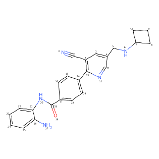 N#Cc1cc(CNC2CCC2)cnc1-c1ccc(C(=O)Nc2ccccc2N)cc1